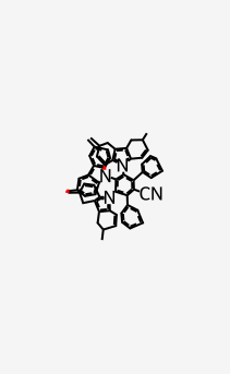 Cc1ccc2c(c1)c1cc(C)ccc1n2-c1c(-n2c3c(c4c2C=CC(C)C4)CC(C)C=C3)c(-c2ccccc2)c(C#N)c(-c2ccccc2)c1-n1c2c(c3c1C=CC(C)C3)CC(C)C=C2